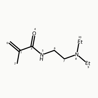 C=C(C)C(=O)NCCN(CC)CC